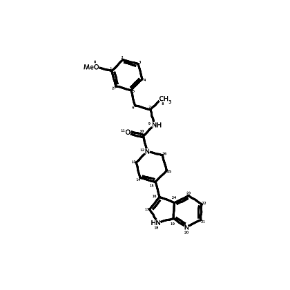 COc1cccc(CC(C)NC(=O)N2CC=C(c3c[nH]c4ncccc34)CC2)c1